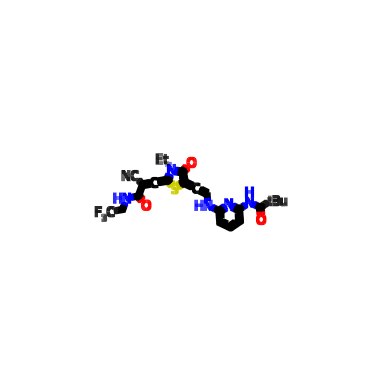 CCn1c(=C=C(C#N)C(=O)NCC(F)(F)F)sc(=C=CNc2cccc(NC(=O)C(C)(C)C)n2)c1=O